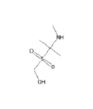 CNC(C)(C)S(=O)(=O)CO